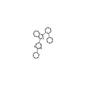 c1ccc(-c2ncc(-c3sc(-c4ccccc4-c4ccccc4)c4ccccc34)cn2)cc1